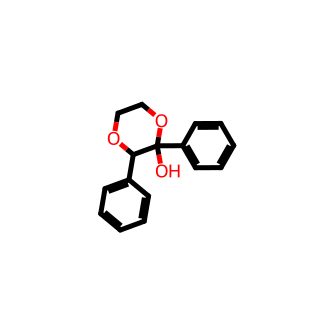 OC1(c2ccccc2)OCCOC1c1ccccc1